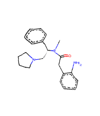 CN(C(=O)Cc1ccccc1N)[C@H](CN1CCCC1)c1ccccc1